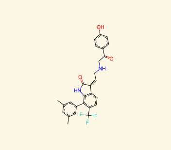 Cc1cc(C)cc(-c2c(C(F)(F)F)ccc3c2NC(=O)C3=CCNCC(=O)c2ccc(O)cc2)c1